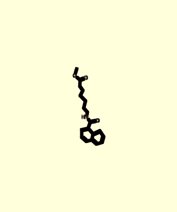 COC(=O)CCCCCCNC(=O)c1cccc2ccccc12